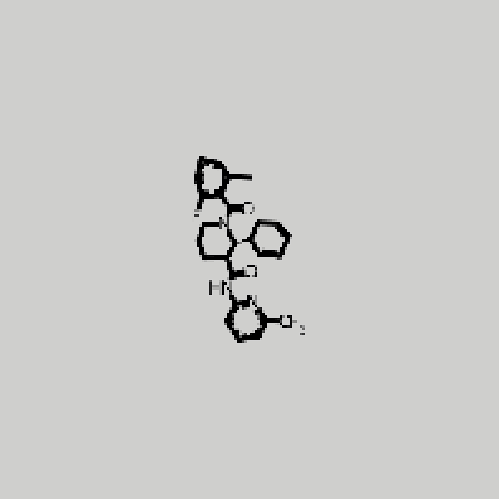 Cc1cccc(F)c1C(=O)N1CCCC(C(=O)Nc2cccc(C(F)(F)F)n2)[C@@H]1C1C=CC=CC1